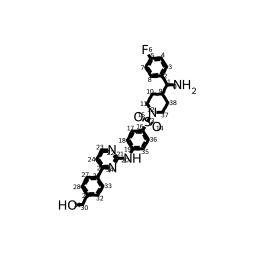 NC(c1ccc(F)cc1)C1CCN(S(=O)(=O)c2ccc(Nc3nccc(-c4ccc(CO)cc4)n3)cc2)CC1